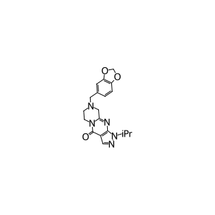 CC(C)n1ncc2c(=O)n3c(nc21)CN(Cc1ccc2c(c1)OCO2)CC3